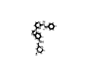 C[C@H](Nc1nccc(-n2cnc3cc(NCC4CN(C)CCO4)ccc32)n1)c1ccccc1